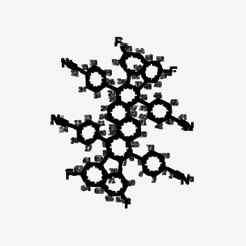 N#Cc1ccc(-c2c3c(c(-c4ccc(C#N)cc4)c4c2ccc2c4ccc4c(-c5ccc(C#N)cc5)c5c(c(-c6ccc(C#N)cc6)c42)-c2cc(F)cc4cc(F)cc-5c24)-c2cc(F)cc4cc(F)cc-3c24)cc1